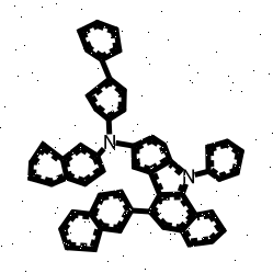 c1ccc(-c2ccc(N(c3ccc4ccccc4c3)c3ccc4c(c3)c3c(-c5ccc6ccccc6c5)cc5ccccc5c3n4-c3ccccc3)cc2)cc1